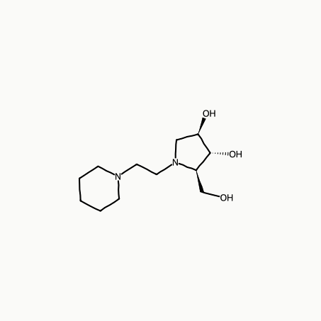 OC[C@@H]1[C@@H](O)[C@H](O)CN1CCN1CCCCC1